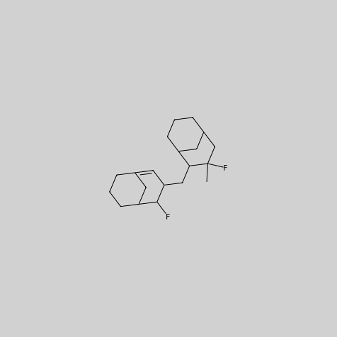 CC1(F)CC2CCCC(C2)C1CC1C=C2CCCC(C2)C1F